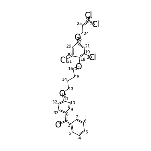 O=C(c1ccccc1)c1ccc(OCCCCOc2c(Cl)cc(OCC=C(Cl)Cl)cc2Cl)cc1